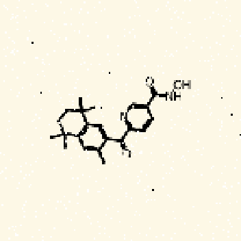 Cc1cc2c(cc1C(=O)c1ccc(C(=O)NO)cn1)C(C)(C)CCC2(C)C